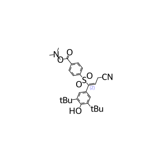 CN(C)OC(=O)c1ccc(S(=O)(=O)/C(=C\CC#N)c2cc(C(C)(C)C)c(O)c(C(C)(C)C)c2)cc1